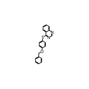 c1ccc(COc2ccc(Sc3ncnc4ccccc34)cc2)cc1